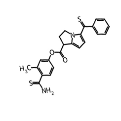 Cc1cc(OC(=O)C2CCn3c(C(=S)c4ccccc4)ccc32)ccc1C(N)=S